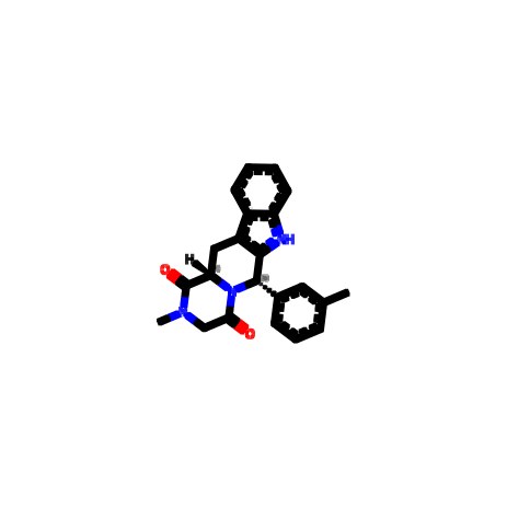 Cc1cccc([C@H]2c3[nH]c4ccccc4c3C[C@H]3C(=O)N(C)CC(=O)N23)c1